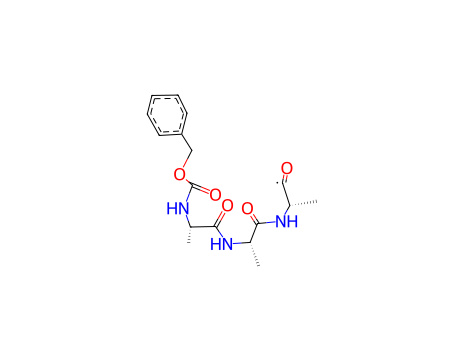 C[C@H](NC(=O)OCc1ccccc1)C(=O)N[C@@H](C)C(=O)N[C@@H](C)[C]=O